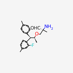 Cc1ccc([C@H](c2ccc(C)cc2F)[C@H](C)OC[C@](C)(N)C=O)cc1